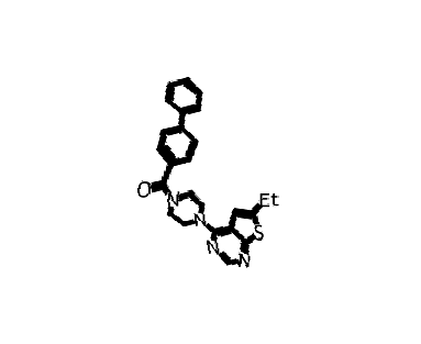 CCc1cc2c(N3CCN(C(=O)c4ccc(-c5ccccc5)cc4)CC3)ncnc2s1